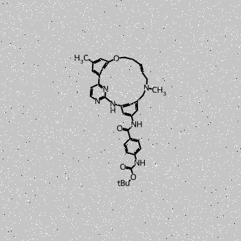 Cc1cc2cc(c1)-c1ccnc(n1)Nc1cc(cc(NC(=O)c3ccc(NC(=O)OC(C)(C)C)cc3)c1)CN(C)C/C=C/CCO2